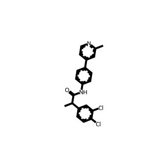 Cc1cc(-c2ccc(NC(=O)C(C)c3ccc(Cl)c(Cl)c3)cc2)ccn1